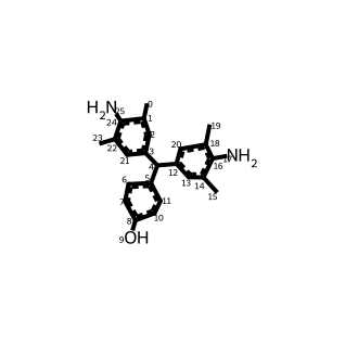 Cc1cc(C(c2ccc(O)cc2)c2cc(C)c(N)c(C)c2)cc(C)c1N